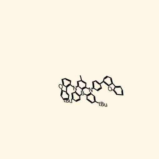 Cc1cc2c3c(c1)N(c1cccc4oc5ccccc5c14)c1cc(C(C)(C)C)ccc1B3c1ccc(C(C)(C)C)cc1N2c1ccc(-c2cccc3c2oc2ccccc23)cc1